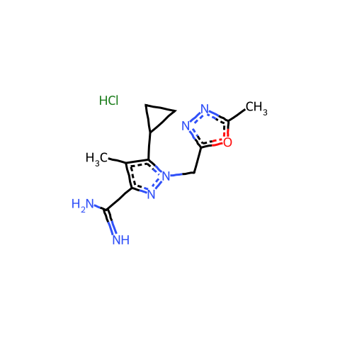 Cc1nnc(Cn2nc(C(=N)N)c(C)c2C2CC2)o1.Cl